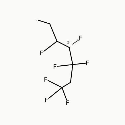 [CH2]CC(F)[C@H](F)C(F)(F)CC(F)(F)F